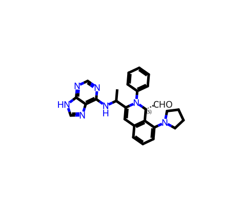 CC(Nc1ncnc2[nH]cnc12)C1=Cc2cccc(N3CCCC3)c2[C@@H](C=O)N1c1ccccc1